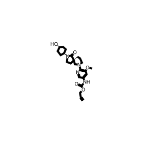 C#CCOC(=O)Nc1cnc(N2CCC[C@@]3(CCN([C@H]4CC[C@@H](O)CC4)C3=O)C2)c(OC)c1